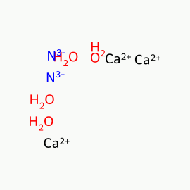 O.O.O.O.[Ca+2].[Ca+2].[Ca+2].[N-3].[N-3]